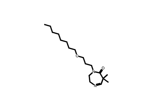 CCCCCCCCOCCCN1CCN=CC(C)(C)C1=O